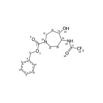 O=C(OCc1ccccc1)N1CCC(O)C(NC(=O)C(F)(F)F)CC1